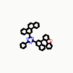 c1ccc(-c2nc(-c3cc(-c4cccc5oc6ccccc6c45)c4ccccc4c3)nc(-c3cc4c5ccccc5ccc4c4ccccc34)n2)cc1